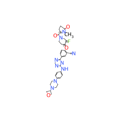 CN1C(=O)CC[C@H]1C(=O)N1CC[C@H](Oc2ccc(-c3ncnc(Nc4ccc(N5CCN(C6COC6)CC5)cc4)n3)cc2C#N)[C@@H](F)C1